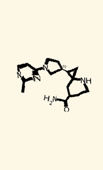 Cc1nccc(N2CC[C@@H](C3CC34CC(C(N)=O)CCN4)C2)n1